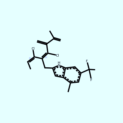 C=C(C)C(=C)/C(Cl)=C(Cc1cc2c(C)cc(C(C)(F)F)cc2[nH]1)\C(Cl)=C/C